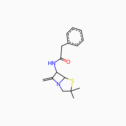 C=C1C(NC(=O)Cc2ccccc2)C2SC(C)(C)CN12